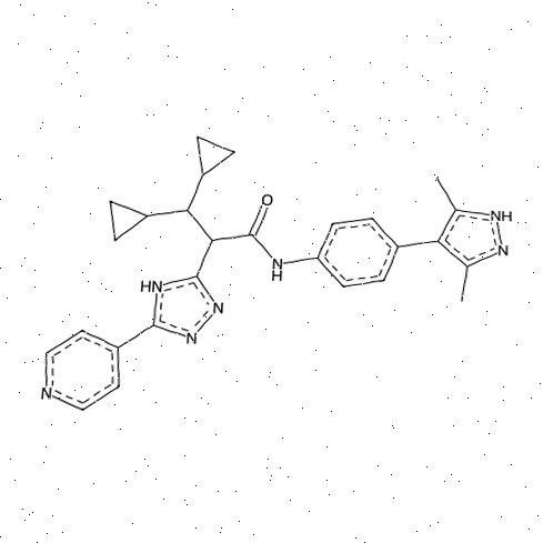 Cc1n[nH]c(C)c1-c1ccc(NC(=O)C(c2nnc(-c3ccncc3)[nH]2)C(C2CC2)C2CC2)cc1